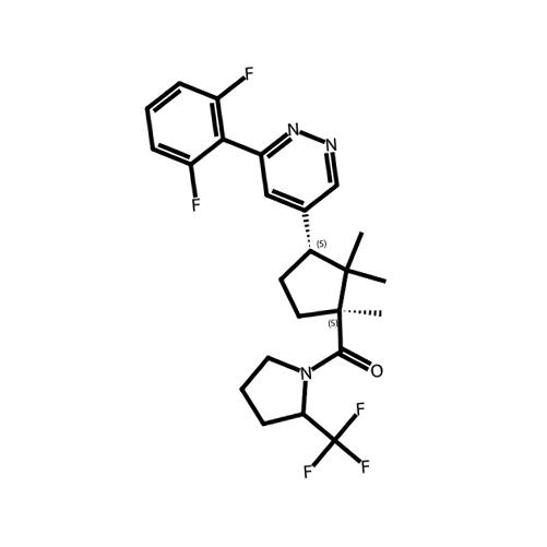 CC1(C)[C@@H](c2cnnc(-c3c(F)cccc3F)c2)CC[C@]1(C)C(=O)N1CCCC1C(F)(F)F